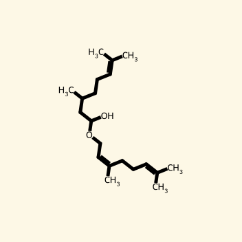 CC(C)=CCC/C(C)=C\COC(O)CC(C)CCC=C(C)C